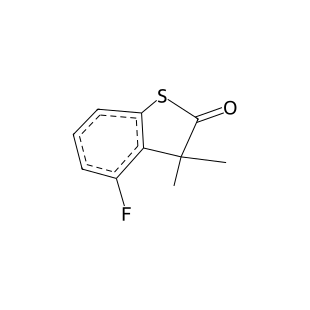 CC1(C)C(=O)Sc2cccc(F)c21